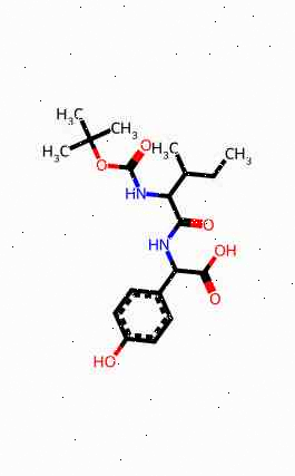 CCC(C)C(NC(=O)OC(C)(C)C)C(=O)NC(C(=O)O)c1ccc(O)cc1